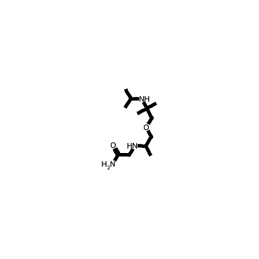 CC(C)NC(C)(C)COCC(C)NCC(N)=O